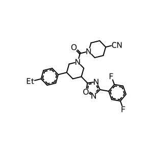 CCc1ccc(C2CC(c3nc(-c4cc(F)ccc4F)no3)CN(C(=O)N3CCC(C#N)CC3)C2)cc1